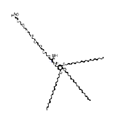 CCCCCCCCCCCCCCCCCCOc1cc(CN/C=C(/COCCOCCOCCOCCOCCOCCOCCOCCP(C)(=O)F)N=N)cc(OCCCCCCCCCCCCCCCCCC)c1OCCCCCCCCCCCCCCCCCC